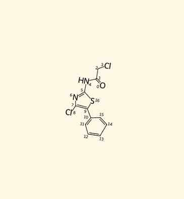 O=C(CCl)Nc1nc(Cl)c(-c2ccccc2)s1